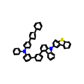 c1ccc(-c2ccc(-c3ccc(N(c4ccccc4)c4cccc(-c5cccc(-c6cccc7c6c6ccccc6n7-c6ccc7sc8ccccc8c7c6)c5)c4)cc3)cc2)cc1